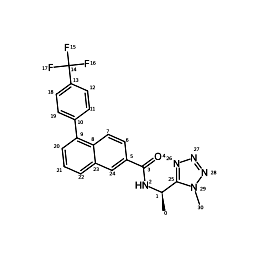 C[C@@H](NC(=O)c1ccc2c(-c3ccc(C(F)(F)F)cc3)cccc2c1)c1nnnn1C